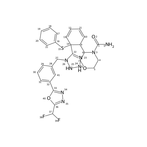 NC(=O)N1CCOCC1C1C=CC=CC1(Sc1ccccc1)C1=NNNN1Cc1cccc(-c2nnc(C(F)F)o2)c1